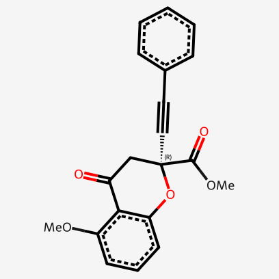 COC(=O)[C@]1(C#Cc2ccccc2)CC(=O)c2c(OC)cccc2O1